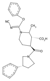 CC1[C@H](C(=O)O)[C@@H](C(=O)N2CC[C@H](c3ccccc3)C2)CCN1C(=NC#N)Oc1ccccc1